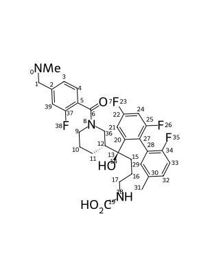 CNCc1ccc(C(=O)N2CCC[C@@H]([C@@](O)(CCCNC(=O)O)c3cc(F)cc(F)c3-c3cc(C)ccc3F)C2)c(F)c1